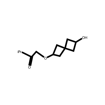 CC(C)C(=O)COC1CC2(CC(O)C2)C1